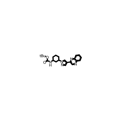 CC(C)(C)OC(=O)NC1CCCC(n2cc(-c3cnc4ccccc4n3)cn2)C1